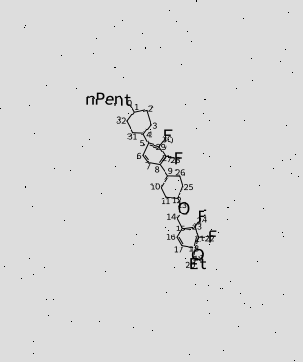 CCCCCC1CCC(c2ccc(C3CCC(OCc4ccc(OCC)c(F)c4F)CC3)c(F)c2F)CC1